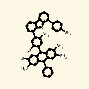 Bc1ccc(-c2cccc3c2sc2c(-c4cc(B)c(-c5c6cc(B)c(B)cc6c(-c6ccccc6)c6cc(B)c(B)cc56)cc4B)cccc23)cc1